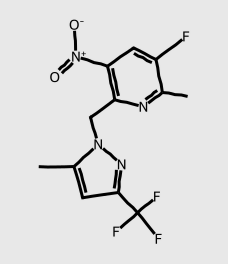 Cc1nc(Cn2nc(C(F)(F)F)cc2C)c([N+](=O)[O-])cc1F